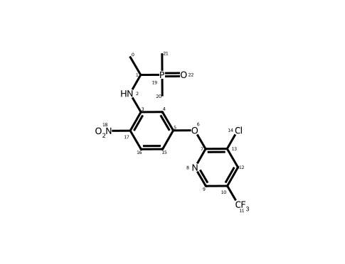 CC(Nc1cc(Oc2ncc(C(F)(F)F)cc2Cl)ccc1[N+](=O)[O-])P(C)(C)=O